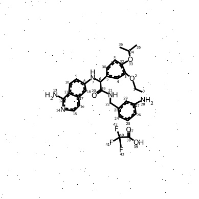 CCOc1cc(C(Nc2ccc3c(N)nccc3c2)C(=O)NCc2cccc(N)c2)ccc1OC(C)C.O=C(O)C(F)(F)F